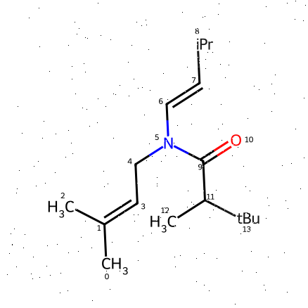 CC(C)=CCN(C=CC(C)C)C(=O)C(C)C(C)(C)C